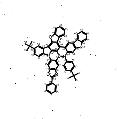 CC(C)(C)c1ccc(N2B3c4cc5nc(-c6ccccc6)oc5cc4-n4c5ccc(C(C)(C)C)cc5c5c6oc7ccccc7c6c(c3c54)-c3cc4c(cc32)sc2ccccc24)cc1